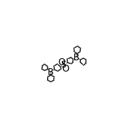 O=S(=O)(c1ccc(B(c2ccccc2)c2ccccc2)cc1)c1ccc(B(c2ccccc2)c2ccccc2)cc1